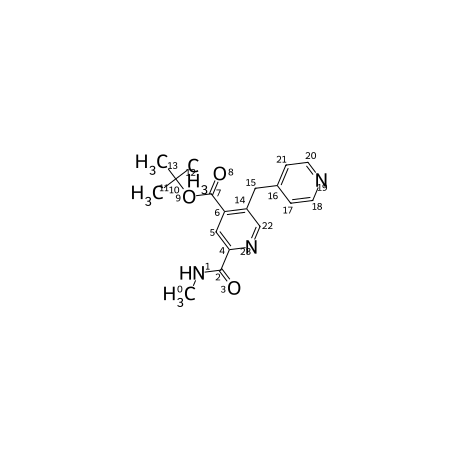 CNC(=O)c1cc(C(=O)OC(C)(C)C)c(Cc2ccncc2)cn1